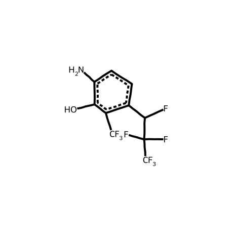 Nc1ccc(C(F)C(F)(F)C(F)(F)F)c(C(F)(F)F)c1O